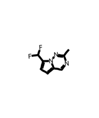 Cc1ncc2ccc(C(F)F)n2n1